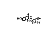 CC(C)CN(CC(C)C)CC(NC(=O)[C@H]1Cc2ccc(O)cc2CN1)C(C)C